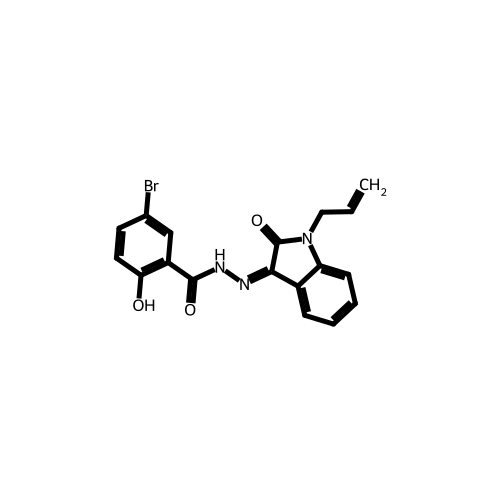 C=CCN1C(=O)/C(=N\NC(=O)c2cc(Br)ccc2O)c2ccccc21